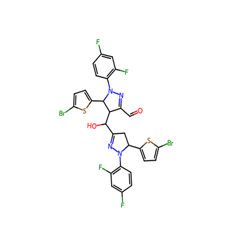 O=CC1=NN(c2ccc(F)cc2F)C(c2ccc(Br)s2)C1C(O)C1=NN(c2ccc(F)cc2F)C(c2ccc(Br)s2)C1